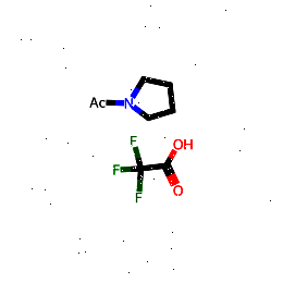 CC(=O)N1CCCC1.O=C(O)C(F)(F)F